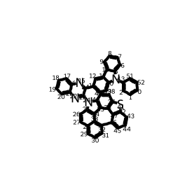 c1ccc(-n2c3ccccc3c3cc(-c4nc5ccccc5nc4-n4c5ccc6cccc7c6c5c5c6c(ccc54)sc4cccc-7c46)ccc32)cc1